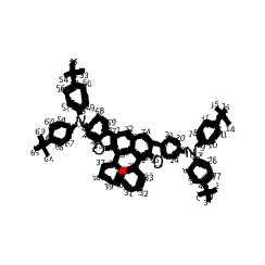 CC(C)(C)c1ccc(N(c2ccc(C(C)(C)C)cc2)c2ccc3c(c2)oc2c(-c4ccccc4)c4c(-c5ccccc5)c5oc6cc(N(c7ccc(C(C)(C)C)cc7)c7ccc(C(C)(C)C)cc7)ccc6c5cc4cc23)cc1